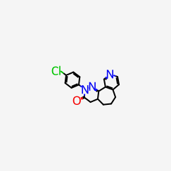 O=C1CC2CCCc3ccncc3C2=NN1c1ccc(Cl)cc1